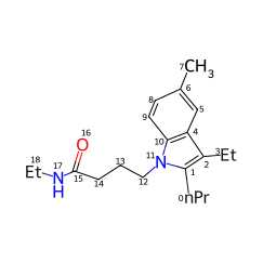 CCCc1c(CC)c2cc(C)ccc2n1CCCC(=O)NCC